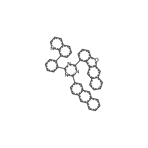 c1ccc(-c2cccc3cccnc23)c(-c2nc(-c3ccc4cc5ccccc5cc4c3)nc(-c3cccc4oc5cc6ccccc6cc5c34)n2)c1